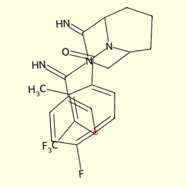 Cc1c(C(=O)N2C3CCCC2C(=N)N(C(=N)c2ccc(F)cc2)C3)cccc1C(F)(F)F